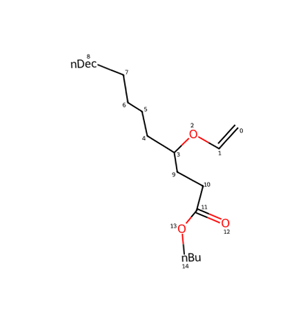 C=COC(CCCCCCCCCCCCCC)CCC(=O)OCCCC